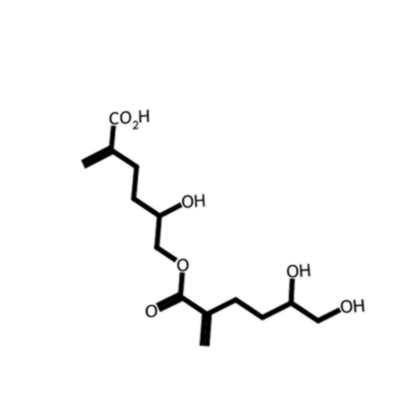 C=C(CCC(O)COC(=O)C(=C)CCC(O)CO)C(=O)O